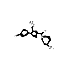 COCc1cc(C(=O)N2CCC(C)CC2)ccc1-c1ccc(Cl)cc1